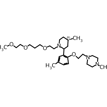 COCCOCCCOCCN1CC[C@@H](C)CC1c1cc(C)ccc1OCCN1CCN(C)CC1